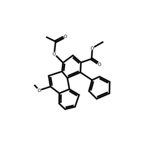 COC(=O)c1cc(OC(C)=O)c2cc(OC)c3ccccc3c2c1-c1ccccc1